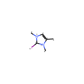 CC1=CN(C)C(I)N1C